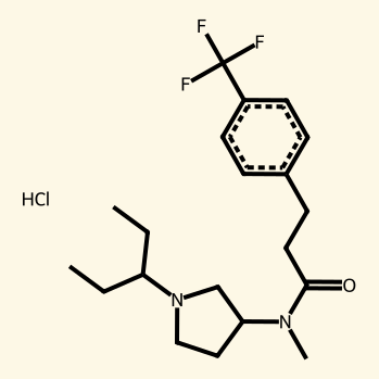 CCC(CC)N1CCC(N(C)C(=O)CCc2ccc(C(F)(F)F)cc2)C1.Cl